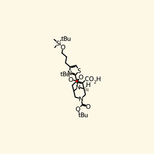 CC(C)(C)OC(=O)N1CC2CC(c3nc(CCCO[Si](C)(C)C(C)(C)C)cs3)=C(C(=O)O)[C@@H](C1)N2C(=O)OC(C)(C)C